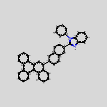 c1ccc(-n2c(-c3ccc4cc(-c5cc6c7ccccc7c7ccccc7c6c6ccccc56)ccc4c3)nc3ccccc32)cc1